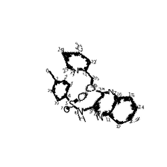 Cc1ccc(S(=O)(=O)Nc2nc3ccccc3nc2OCc2ccccn2)cc1